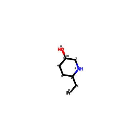 CC(C)CC1CC[C@@H](O)CN1